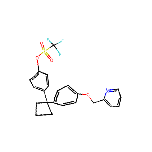 O=S(=O)(Oc1ccc(C2(c3ccc(OCc4ccccn4)cc3)CCC2)cc1)C(F)(F)F